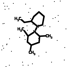 CCC1CCCCN1N1C(C)CC(C)CC1C